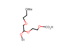 CCOC(COCCOC)OCCOC(=O)O